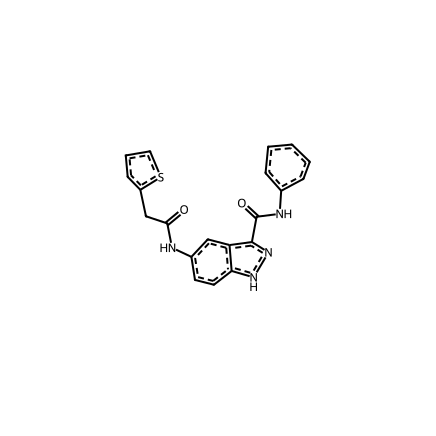 O=C(Cc1cccs1)Nc1ccc2[nH]nc(C(=O)Nc3ccccc3)c2c1